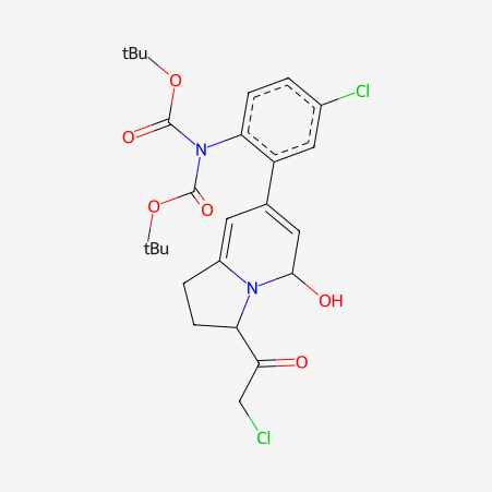 CC(C)(C)OC(=O)N(C(=O)OC(C)(C)C)c1ccc(Cl)cc1C1=CC(O)N2C(=C1)CCC2C(=O)CCl